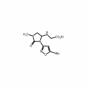 CCOC(=O)CNC1CN(C)C(=O)N1c1cc(C(C)(C)C)on1